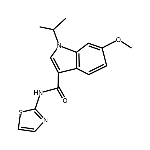 COc1ccc2c(C(=O)Nc3nccs3)cn(C(C)C)c2c1